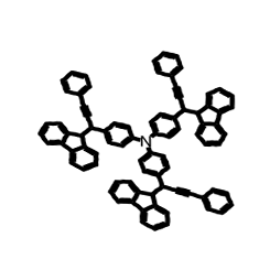 C(#CC(c1ccc(N(c2ccc(C(C#Cc3ccccc3)C3c4ccccc4-c4ccccc43)cc2)c2ccc(C(C#Cc3ccccc3)C3c4ccccc4-c4ccccc43)cc2)cc1)C1c2ccccc2-c2ccccc21)c1ccccc1